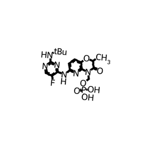 CC1Oc2ccc(Nc3nc(NC(C)(C)C)ncc3F)nc2N(COP(=O)(O)O)C1=O